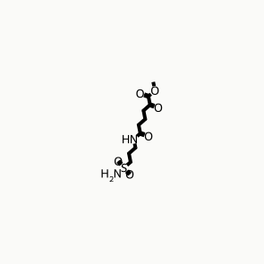 COC(=O)C(=O)CCCC(=O)NCCCS(N)(=O)=O